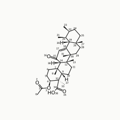 CC(=O)O[C@H]1CC[C@@]2(C)[C@H](CC[C@]3(C)[C@H]2C(=O)C=C2[C@@H]4[C@@H](C)[C@@H](C)CC[C@]4(C)CC[C@@]23C)[C@@]1(C)C(=O)O